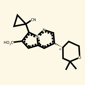 CC1(C)C[C@H](c2cnn3c(C4(C#N)CC4)c(C(=O)O)cc3c2)CCO1